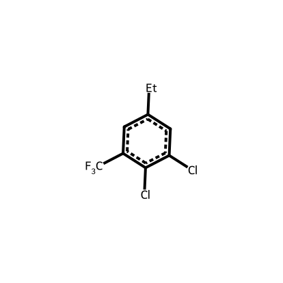 [CH2]Cc1cc(Cl)c(Cl)c(C(F)(F)F)c1